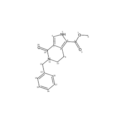 COC(=O)c1[nH]cc2c1CCN(Cc1ccccc1)C2=O